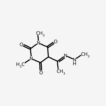 CNN=C(C)C1C(=O)N(C)C(=O)N(C)C1=O